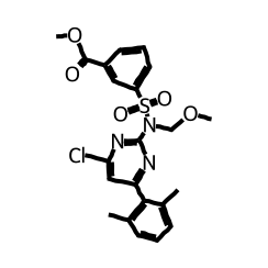 COCN(c1nc(Cl)cc(-c2c(C)cccc2C)n1)S(=O)(=O)c1cccc(C(=O)OC)c1